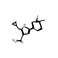 NC(=O)c1cc(-c2ccc(F)c(F)c2)[nH]c1CC1CC1